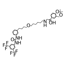 CC1(C)OCc2cc([C@H](O)CNCCCCCCOCCCCc3cccc(NC(=O)Nc4cc(C(F)(F)F)cc(C(F)(F)F)c4)c3)ccc2O1